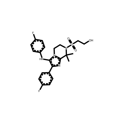 CC1(C)c2nc(-c3ccc(F)cc3)c(Nc3ccc(F)cc3)n2CCN1S(=O)(=O)CCO